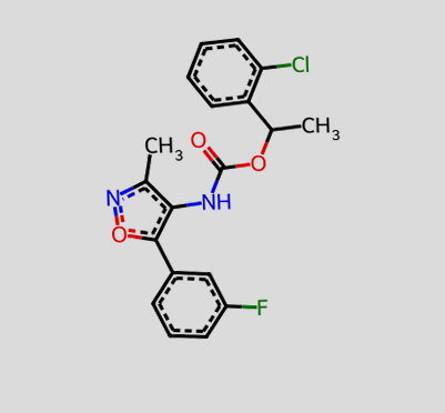 Cc1noc(-c2cccc(F)c2)c1NC(=O)OC(C)c1ccccc1Cl